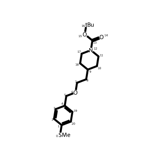 CSc1ccc(COCCC2CCN(C(=O)OC(C)(C)C)CC2)cc1